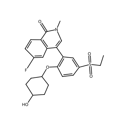 CCS(=O)(=O)c1ccc(OC2CCC(O)CC2)c(-c2cn(C)c(=O)c3ccc(F)cc23)c1